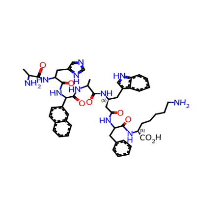 CC(N)C(=O)NC(Cc1cnc[nH]1)C(=O)NC(C(=O)NC(C)C(=O)N[C@H](CC(=O)NC(Cc1ccccc1)C(=O)N[C@@H](CCCCCN)C(=O)O)Cc1c[nH]c2ccccc12)c1ccc2ccccc2c1